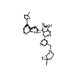 Cc1ccc(-c2ccnc3[nH]c(-c4n[nH]c5cnc(-c6cncc(CN7CCC(F)(F)C7)c6)cc45)cc23)s1